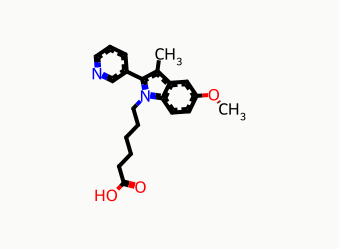 COc1ccc2c(c1)c(C)c(-c1cccnc1)n2CCCCCC(=O)O